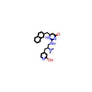 CN(C)C(CNc1nc(=O)cc(Cc2ccc3ccccc3c2)[nH]1)Cc1ccnc(O)c1